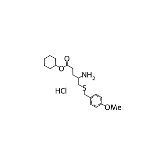 COc1ccc(CSCC(N)CCC(=O)OC2CCCCC2)cc1.Cl